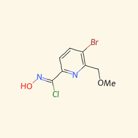 COCc1nc(C(Cl)=NO)ccc1Br